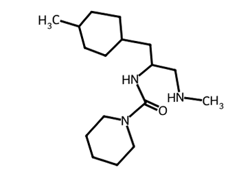 CNCC(CC1CCC(C)CC1)NC(=O)N1CCCCC1